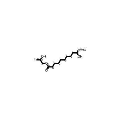 CCCCCCC(O)CCCCCCCCC(=O)OCC(O)CC